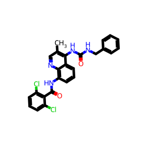 Cc1cnc2c(NC(=O)c3c(Cl)cccc3Cl)cccc2c1NC(=O)NCc1ccccc1